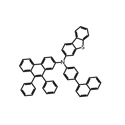 c1ccc(-c2c(-c3ccccc3)c3cc(N(c4ccc(-c5cccc6ccccc56)cc4)c4ccc5c(c4)sc4ccccc45)ccc3c3ccccc23)cc1